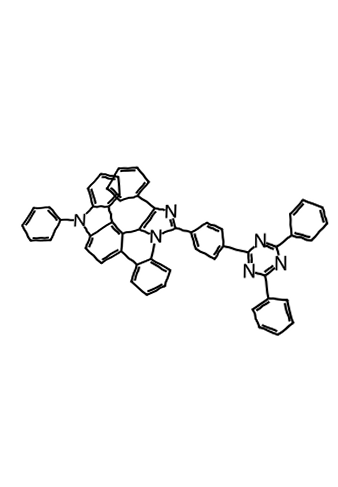 c1ccc(-c2nc(-c3ccccc3)nc(-c3ccc(-c4nc(-c5ccccc5)c5c6c(ccc7c6c6ccccc6n7-c6ccccc6)c6ccccc6n45)cc3)n2)cc1